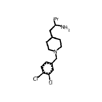 CC(C)C(N)CC1CCN(Cc2ccc(Cl)c(Cl)c2)CC1